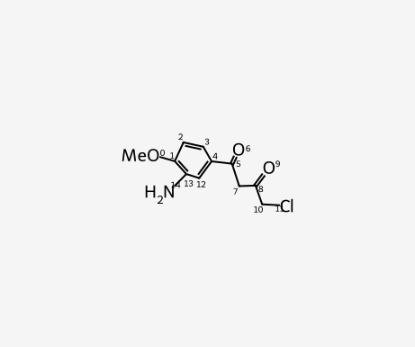 COc1ccc(C(=O)CC(=O)CCl)cc1N